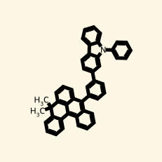 CC1(C)c2ccccc2-c2c3ccccc3c(-c3cccc(-c4ccc5c6ccccc6n(-c6ccccc6)c5c4)c3)c3cccc1c23